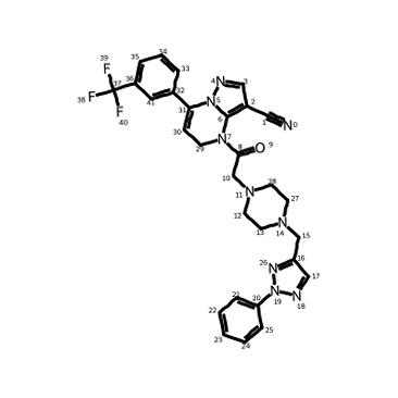 N#Cc1cnn2c1N(C(=O)CN1CCN(Cc3cnn(-c4ccccc4)n3)CC1)CC=C2c1cccc(C(F)(F)F)c1